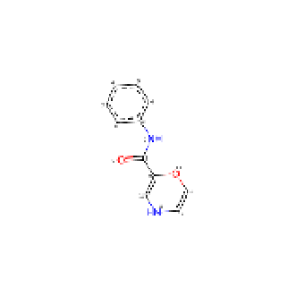 O=C(Nc1ccccc1)C1=CNC=CO1